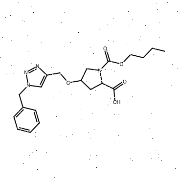 CCCCOC(=O)N1CC(OCc2cn(Cc3ccccc3)nn2)CC1C(=O)O